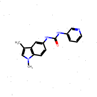 Cc1cn(C)c2ccc(NC(=O)Nc3cccnc3)cc12